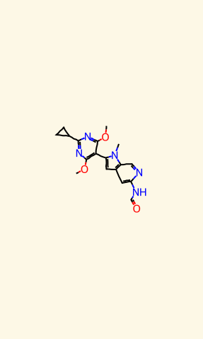 COc1nc(C2CC2)nc(OC)c1-c1cc2cc(NC=O)ncc2n1C